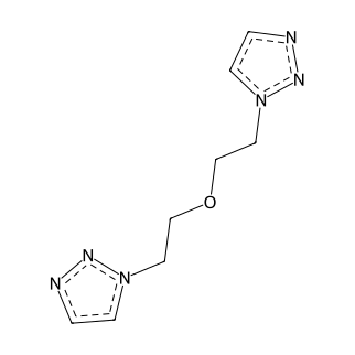 c1cn(CCOCCn2ccnn2)nn1